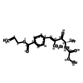 C=CCOC(=O)c1ccc(/C=C(\C(=O)OCC)C(=O)[C@@H](NC(=O)OC(C)(C)C)C(C)C)cc1